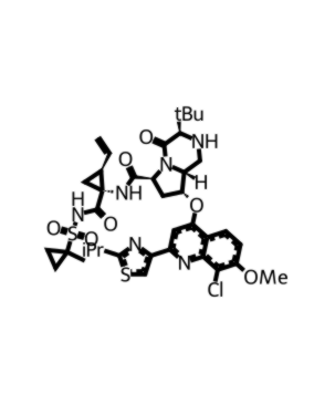 C=C[C@@H]1C[C@]1(NC(=O)[C@@H]1C[C@@H](Oc2cc(-c3csc(C(C)C)n3)nc3c(Cl)c(OC)ccc23)[C@H]2CN[C@H](C(C)(C)C)C(=O)N21)C(=O)NS(=O)(=O)C1(C)CC1